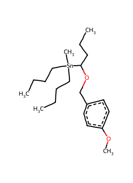 CCC[CH2][Sn]([CH3])([CH2]CCC)[CH](CCC)OCc1ccc(OC)cc1